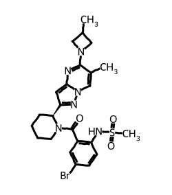 Cc1cn2nc([C@@H]3CCCCN3C(=O)c3cc(Br)ccc3NS(C)(=O)=O)cc2nc1N1CC(C)C1